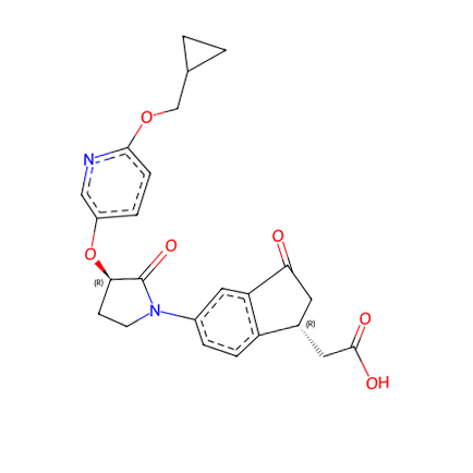 O=C(O)C[C@H]1CC(=O)c2cc(N3CC[C@@H](Oc4ccc(OCC5CC5)nc4)C3=O)ccc21